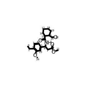 CCc1ccc(C(CC(=O)OC)NC(=O)C2CCCCC2C=O)cc1OC